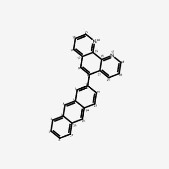 c1ccc2cc3cc(-c4cc5cccnc5c5ncccc45)ccc3cc2c1